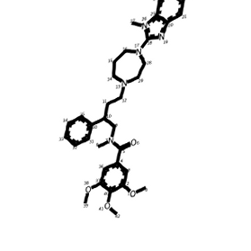 COc1cc(C(=O)N(C)CC(CCN2CCCN(c3nc4ccccc4n3C)CC2)c2ccccc2)cc(OC)c1OC